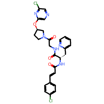 O=C(C=Cc1ccc(Cl)cc1)N[C@@H](Cc1ccccn1)C(=O)NCC(=O)N1CC[C@@H](Oc2cncc(Cl)n2)C1